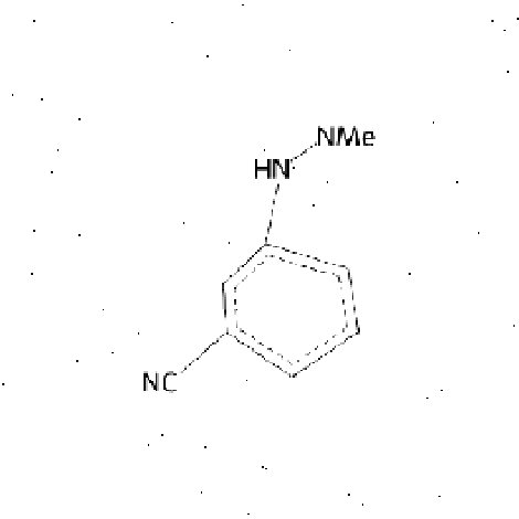 CNNc1cccc(C#N)c1